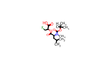 CC(C)CC(C(=O)OC(CF)C(=O)O)N(C)C(=O)OC(C)(C)C